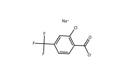 O=C([O-])c1ccc(C(F)(F)F)cc1Cl.[Na+]